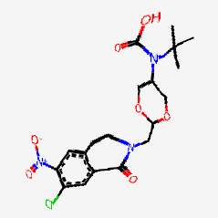 CC(C)(C)N(C(=O)O)C1COC(CN2Cc3cc([N+](=O)[O-])c(Cl)cc3C2=O)OC1